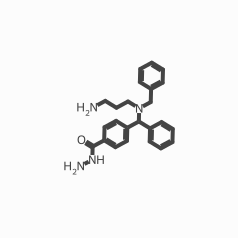 NCCCN(Cc1ccccc1)C(c1ccccc1)c1ccc(C(=O)NN)cc1